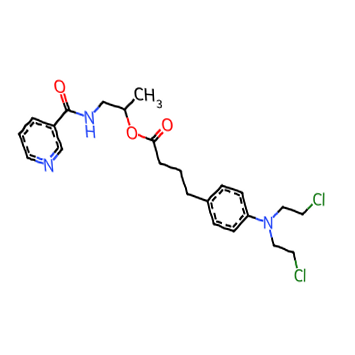 CC(CNC(=O)c1cccnc1)OC(=O)CCCc1ccc(N(CCCl)CCCl)cc1